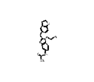 CC(C)CCn1c(Cc2ccc3c(c2)CCO3)nc2cc(NC(=O)C(C)(C)C)ccc21